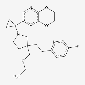 CCOCC1(CCc2ccc(F)cn2)CCN(C2(c3cnc4c(c3)OCCO4)CC2)C1